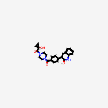 O=C1Nc2ccccc2CC1c1ccc(C(=O)N2CCN(C(=O)C3(O)CC3)CC2)cc1